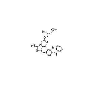 CN1c2ccccc2Sc2cc(C=C3SC(S)N(CC(=O)OCC(O)CO)C3=O)ccc21